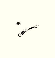 Br.O=[O+][O-]